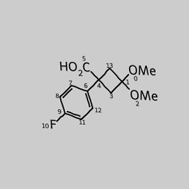 COC1(OC)CC(C(=O)O)(c2ccc(F)cc2)C1